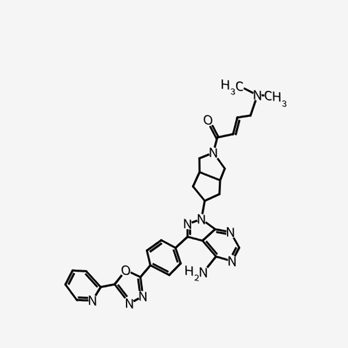 CN(C)CC=CC(=O)N1CC2CC(n3nc(-c4ccc(-c5nnc(-c6ccccn6)o5)cc4)c4c(N)ncnc43)CC2C1